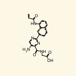 C=CC(=O)Nc1cccc2ccc(-c3ncc(N)c(C(=O)NCC(=O)O)n3)cc12